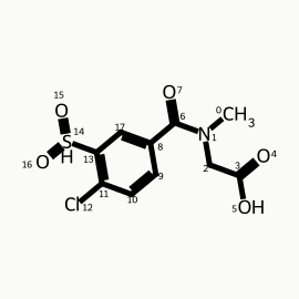 CN(CC(=O)O)C(=O)c1ccc(Cl)c([SH](=O)=O)c1